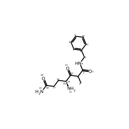 CC(C(=O)NCc1ccccc1)C(=O)[C@@H](N)CCC(N)=O